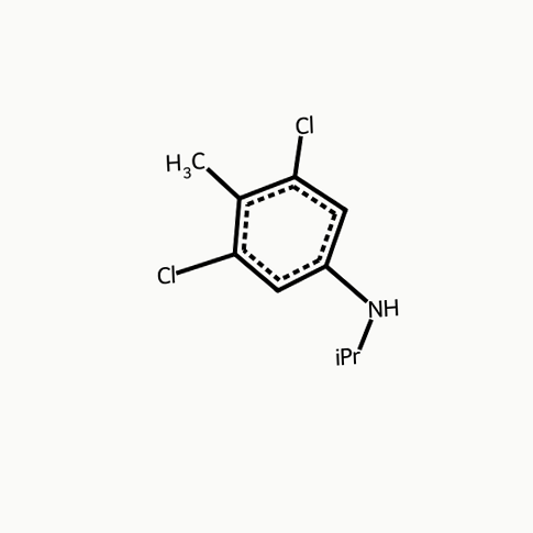 Cc1c(Cl)cc(NC(C)C)cc1Cl